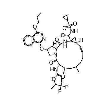 CCCOc1cnc(O[C@@H]2C[C@H]3C(=O)N[C@]4(C(=O)NS(=O)(=O)C5CC5)C[C@H]4/C=C\CC[C@@H](C)C[C@@H](C)[C@H](NC(=O)O[C@H](C)C(F)(F)F)C(=O)N3C2)c2ccccc12